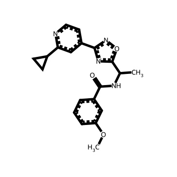 COc1cccc(C(=O)NC(C)c2nc(-c3ccnc(C4CC4)c3)no2)c1